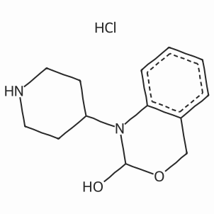 Cl.OC1OCc2ccccc2N1C1CCNCC1